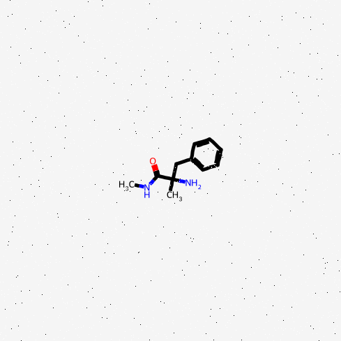 CNC(=O)C(C)(N)Cc1ccccc1